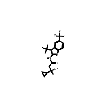 CC(O)(CC(=O)Nc1nc2ccc(C(F)(F)F)cc2n1C(C)(C)C)C1CC1